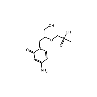 CP(=O)(O)CO[C@@H](CO)Cn1ccc(N)nc1=O